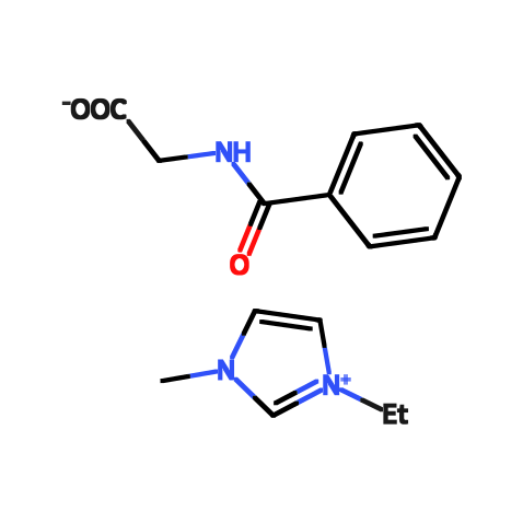 CC[n+]1ccn(C)c1.O=C([O-])CNC(=O)c1ccccc1